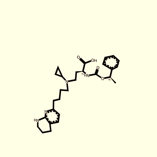 C[C@@H](OC(=O)N[C@@H](CCN(CCCCc1ccc2c(n1)NCCC2)C1CC1)C(=O)O)c1ccccc1